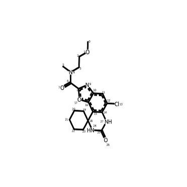 COCCN(C)C(=O)c1nc2cc(Cl)c3c(c2o1)C1(CCCCC1)NC(=O)N3